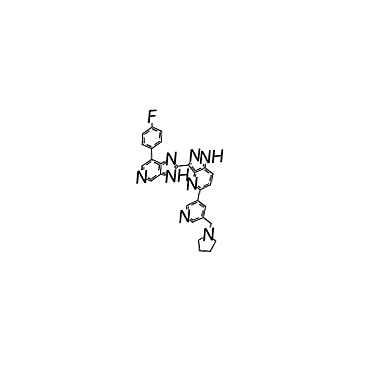 Fc1ccc(-c2cncc3[nH]c(-c4n[nH]c5ccc(-c6cncc(CN7CCCC7)c6)nc45)nc23)cc1